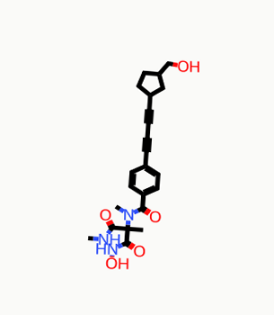 CNC(=O)C(C)(C(=O)NO)N(C)C(=O)c1ccc(C#CC#CC2CCC(CO)C2)cc1